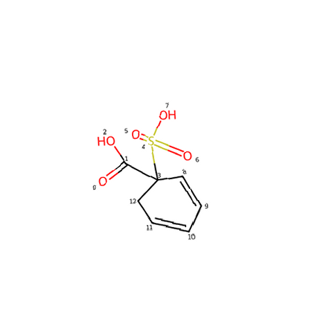 O=C(O)C1(S(=O)(=O)O)C=CC=CC1